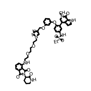 CCS(=O)(=O)Nc1ccc(Oc2cccc(OCc3cn(CCOCCOCCNc4cccc5c4C(=O)N(C4CCCNC4=O)C5=O)nn3)c2)c(-c2cn(C)c(=O)c3[nH]ccc23)c1